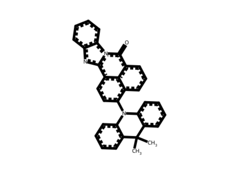 CC1(C)c2ccccc2N(c2ccc3c4c2cccc4c(=O)n2c4ccccc4nc32)c2ccccc21